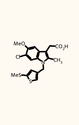 COc1cc2c(CC(=O)O)c(C)n(Cc3csc(SC)c3)c2cc1Cl